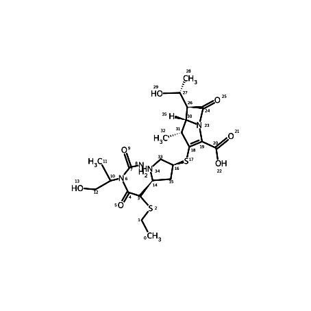 CCSC(C(=O)N(C(N)=O)C(C)CO)[C@@H]1C[C@H](SC2=C(C(=O)O)N3C(=O)[C@H]([C@@H](C)O)[C@H]3[C@H]2C)CN1